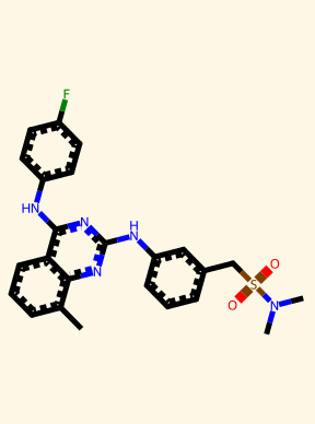 Cc1cccc2c(Nc3ccc(F)cc3)nc(Nc3cccc(CS(=O)(=O)N(C)C)c3)nc12